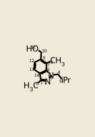 Cc1nn(CC(C)C)c2c(C)c(CO)ccc12